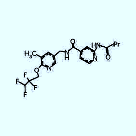 Cc1cc(CNC(=O)c2ccnc(NC(=O)C(C)C)c2)cnc1OCC(F)(F)C(F)F